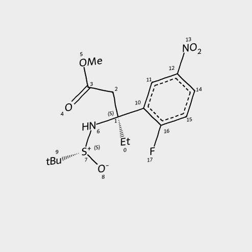 CC[C@@](CC(=O)OC)(N[S@+]([O-])C(C)(C)C)c1cc([N+](=O)[O-])ccc1F